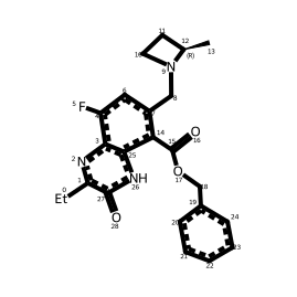 CCc1nc2c(F)cc(CN3CC[C@H]3C)c(C(=O)OCc3ccccc3)c2[nH]c1=O